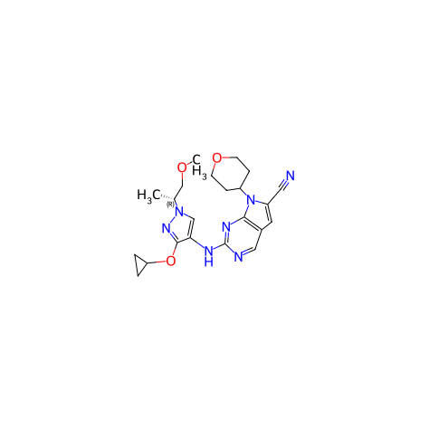 COC[C@@H](C)n1cc(Nc2ncc3cc(C#N)n(C4CCOCC4)c3n2)c(OC2CC2)n1